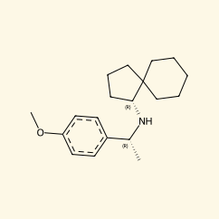 COc1ccc([C@@H](C)N[C@@H]2CCCC23CCCCC3)cc1